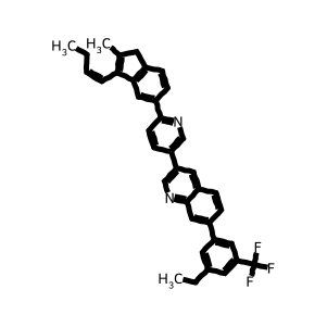 CC/C=C\C1=C(C)Cc2ccc(-c3ccc(-c4cnc5cc(-c6cc(CC)cc(C(F)(F)F)c6)ccc5c4)cn3)cc21